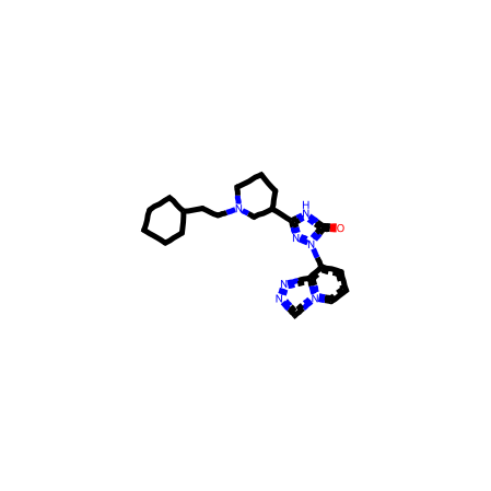 O=c1[nH]c(C2CCCN(CCC3CCCCC3)C2)nn1-c1cccn2cnnc12